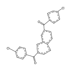 O=C(c1ccc(Cl)cc1)c1ccc2ccc(C(=O)c3ccc(Cl)cc3)cc2c1